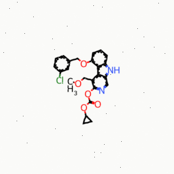 COCc1c(OC(=O)OC2CC2)ncc2[nH]c3cccc(OCc4cccc(Cl)c4)c3c12